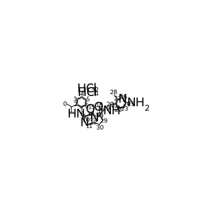 CCc1ccccc1Nc1ncc2n(c1=O)[C@@H](C(=O)NCc1ccc(N)nc1C)CC2.Cl.Cl